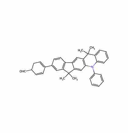 CC1(C)c2cc(C3=CCC(C=O)C=C3)ccc2-c2cc3c(cc21)N(c1ccccc1)c1ccccc1C3(C)C